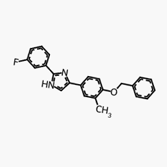 Cc1cc(-c2c[nH]c(-c3cccc(F)c3)n2)ccc1OCc1ccccc1